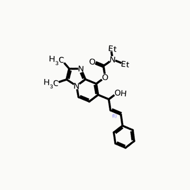 CCN(CC)C(=O)Oc1c(C(O)/C=C/c2ccccc2)ccn2c(C)c(C)nc12